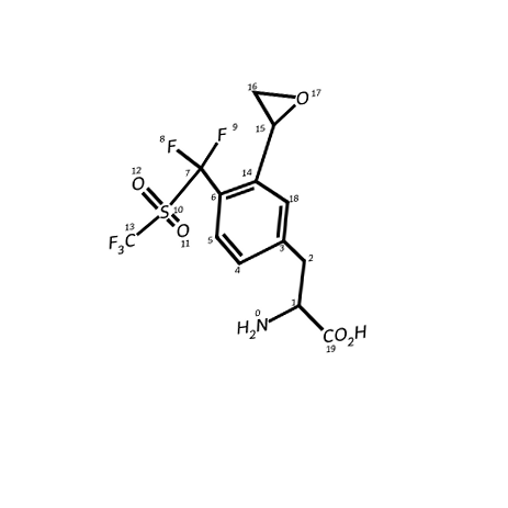 NC(Cc1ccc(C(F)(F)S(=O)(=O)C(F)(F)F)c(C2CO2)c1)C(=O)O